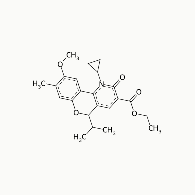 CCOC(=O)c1cc2c(n(C3CC3)c1=O)-c1cc(OC)c(C)cc1OC2C(C)C